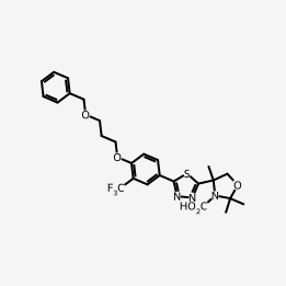 CC1(C)OCC(C)(c2nnc(-c3ccc(OCCCOCc4ccccc4)c(C(F)(F)F)c3)s2)N1C(=O)O